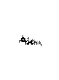 NNc1ncc(-c2cnc(-c3cc(F)cc(F)c3)[nH]2)cn1